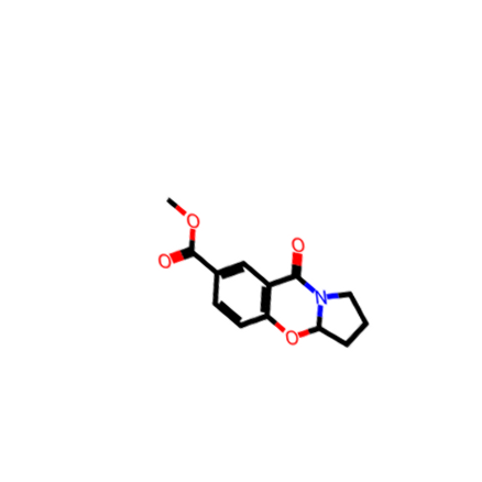 COC(=O)c1ccc2c(c1)C(=O)N1CCCC1O2